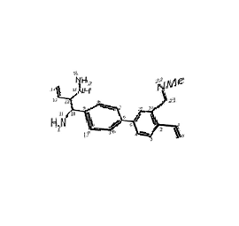 C=Cc1ccc(-c2ccc(C(N)C(C=C)NN)cc2)cc1CNC